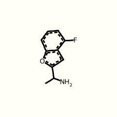 CC(N)c1cc2c(F)cccc2o1